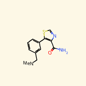 CNCc1cccc(-c2scnc2C(N)=O)c1